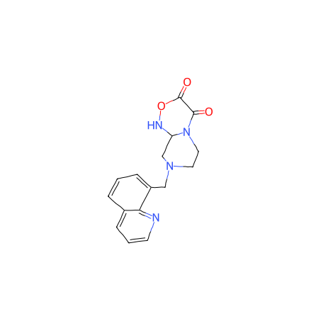 O=C1ONC2CN(Cc3cccc4cccnc34)CCN2C1=O